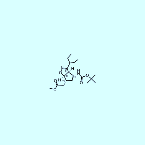 CCC(CC)C1=NO[C@@H]2[C@@H](CC(=O)OC)C[C@@H](NC(=O)OC(C)(C)C)[C@H]12